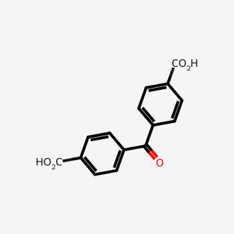 O=C(O)c1ccc(C(=O)c2ccc(C(=O)O)cc2)cc1